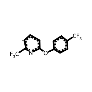 FC(F)(F)c1ccc(Oc2cc[c]c(C(F)(F)F)n2)cc1